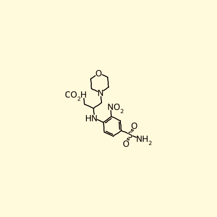 NS(=O)(=O)c1ccc(NC(CC(=O)O)CN2CCOCC2)c([N+](=O)[O-])c1